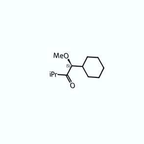 CO[C@H](C(=O)C(C)C)C1CCCCC1